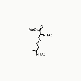 COC(=O)C(CSSCC(C)NC(C)=O)NC(C)=O